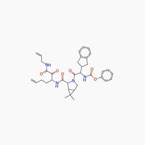 C=CCCC(NC(=O)C1C2C(CN1C(=O)C(NC(=O)Oc1ccccc1)C1Cc3ccccc3C1)C2(C)C)C(=O)C(=O)NCC=C